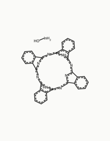 [OH][InH2].c1ccc2c(c1)-c1nc-2nc2[nH]c(nc3nc(nc4[nH]c(n1)c1ccccc41)-c1ccccc1-3)c1ccccc21